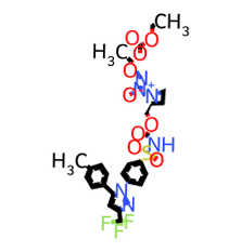 CCOC(=O)OC(C)ON=[N+]([O-])N1CC[C@H]1COC(=O)NS(=O)(=O)c1ccc(-n2nc(C(F)(F)F)cc2-c2ccc(C)cc2)cc1